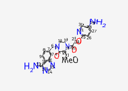 COC[C@H]1C(=O)N(Cc2ccc3c(N)ncnc3c2)CCN1C(=O)COc1ccc(N)cn1